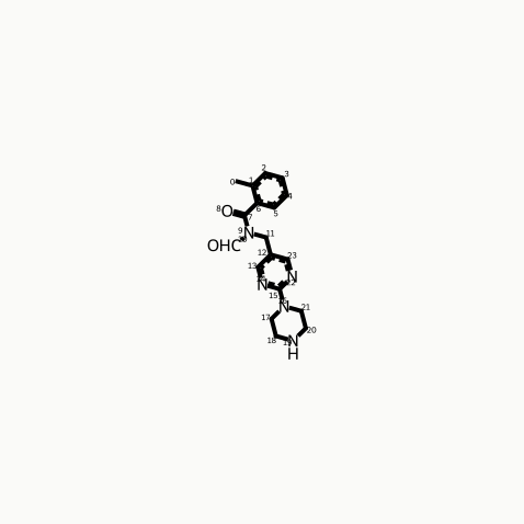 Cc1ccccc1C(=O)N(C=O)Cc1cnc(N2CCNCC2)nc1